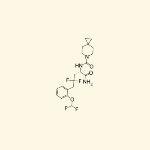 NC(=O)[C@H](CC(F)(F)Cc1ccccc1OC(F)F)NC(=O)N1CCC2(CC1)CC2